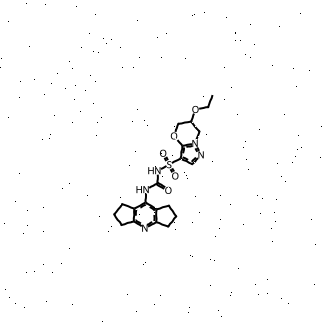 CCOC1COc2c(S(=O)(=O)NC(=O)Nc3c4c(nc5c3CCC5)CCC4)cnn2C1